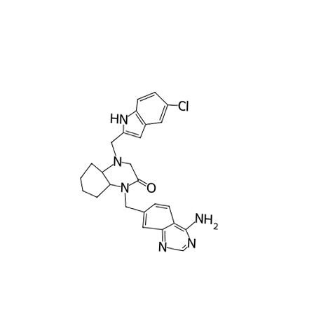 Nc1ncnc2cc(CN3C(=O)CN(Cc4cc5cc(Cl)ccc5[nH]4)C4CCCCC43)ccc12